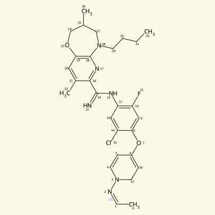 C/C=N\N1C=CC(Oc2cc(F)c(NC(=N)c3nc4c(cc3C)OCC(C)CN4CCCC)cc2Cl)=CC1